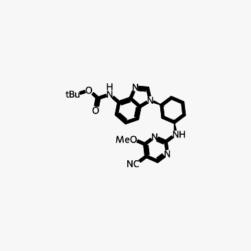 COc1nc(N[C@@H]2CCC[C@H](n3cnc4c(NC(=O)OC(C)(C)C)cccc43)C2)ncc1C#N